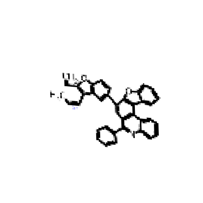 C=Cc1oc2ccc(-c3cc4c(-c5ccccc5)nc5ccccc5c4c4c3oc3ccccc34)cc2c1/C=C\C